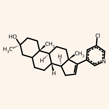 C[C@]1(O)CC[C@@]2(C)C(CC[C@@H]3[C@@H]2CC[C@]2(C)C(c4cncc(Cl)c4)=CC[C@@H]32)C1